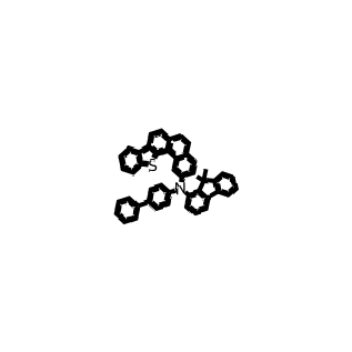 CC1(C)c2ccccc2-c2cccc(N(c3ccc(-c4ccccc4)cc3)c3ccc4ccc5ccc6c7ccccc7sc6c5c4c3)c21